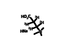 [2H]C([2H])(C(=O)O)C([2H])([2H])[Si](C)(C)C.[NaH]